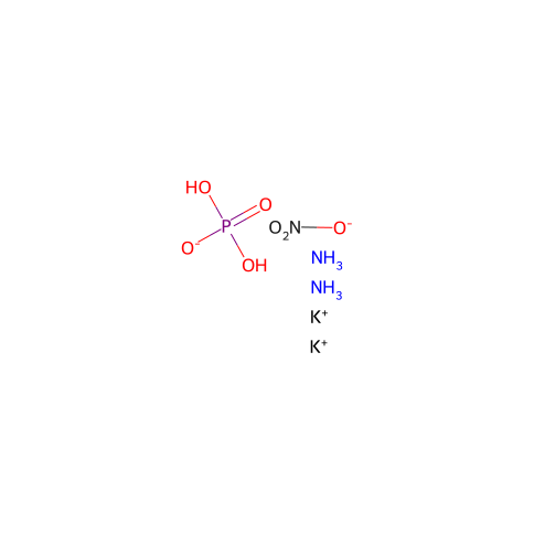 N.N.O=P([O-])(O)O.O=[N+]([O-])[O-].[K+].[K+]